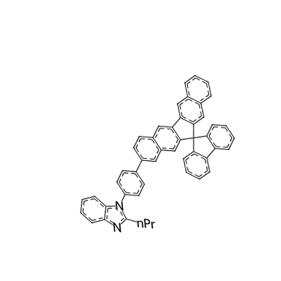 CCCc1nc2ccccc2n1-c1ccc(-c2ccc3cc4c(cc3c2)C2(c3ccccc3-c3ccccc32)c2cc3ccccc3cc2-4)cc1